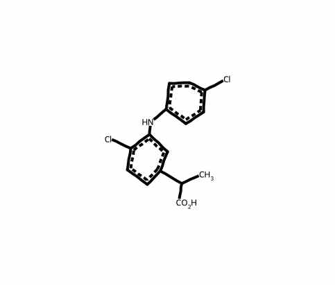 CC(C(=O)O)c1ccc(Cl)c(Nc2ccc(Cl)cc2)c1